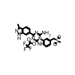 Cc1n[nH]c2cc(C3=NC(N)(OC(=O)C(F)(F)F)N(c4cccc(CS(C)(=O)=O)c4)C(N)=N3)ccc12